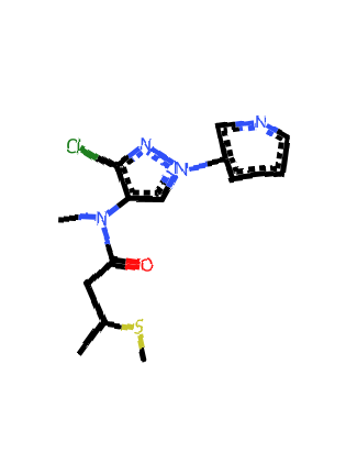 CSC(C)CC(=O)N(C)c1cn(-c2cccnc2)nc1Cl